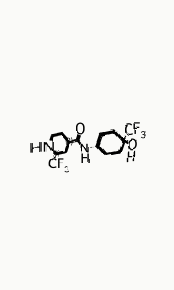 O=C(N[C@H]1CC[C@@](O)(C(F)(F)F)CC1)[C@@H]1CCN[C@@H](C(F)(F)F)C1